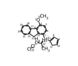 COc1cc[c]([Hf+2]([C]2=CC=CC2)=[C](C)C)c2c1-c1ccccc1C2.[Cl-].[Cl-]